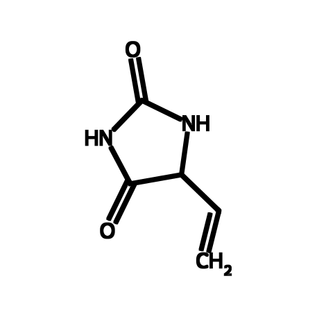 C=CC1NC(=O)NC1=O